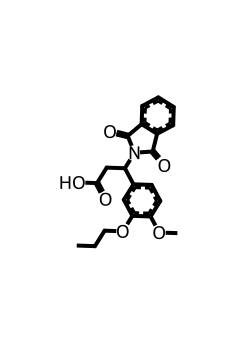 CCCOc1cc(C(CC(=O)O)N2C(=O)c3ccccc3C2=O)ccc1OC